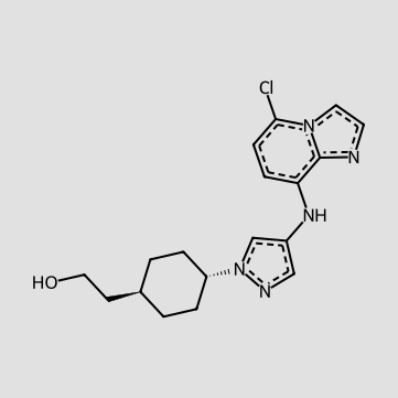 OCC[C@H]1CC[C@H](n2cc(Nc3ccc(Cl)n4ccnc34)cn2)CC1